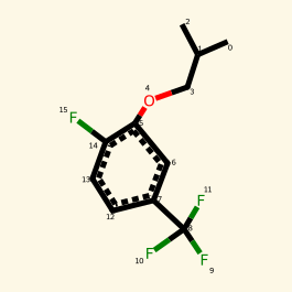 CC(C)COc1cc(C(F)(F)F)ccc1F